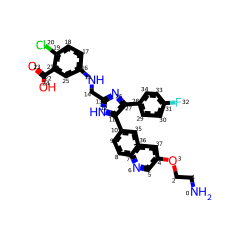 NCCOc1cnc2ccc(-c3[nH]c(CNc4ccc(Cl)c(C(=O)O)c4)nc3-c3ccc(F)cc3)cc2c1